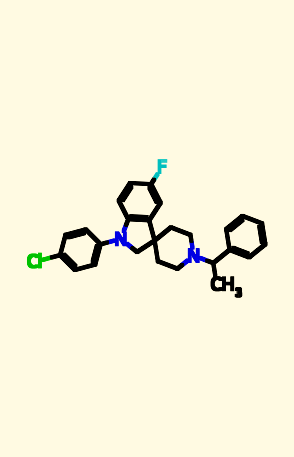 CC(c1ccccc1)N1CCC2(CC1)CN(c1ccc(Cl)cc1)c1ccc(F)cc12